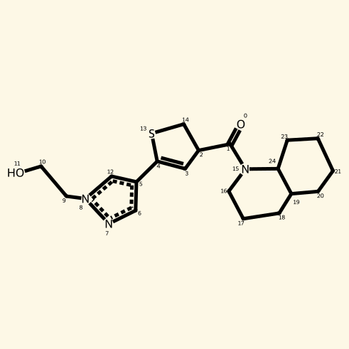 O=C(C1C=C(c2cnn(CCO)c2)SC1)N1CCCC2CCCCC21